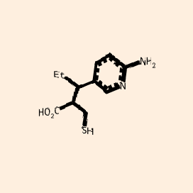 CCC(c1ccc(N)nc1)C(CS)C(=O)O